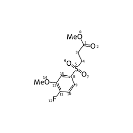 COC(=O)CCS(=O)(=O)c1ccc(F)c(OC)c1